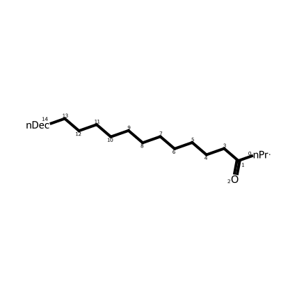 CC[CH]C(=O)CCCCCCCCCCCCCCCCCCCCC